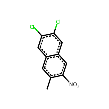 Cc1cc2cc(Cl)c(Cl)cc2cc1[N+](=O)[O-]